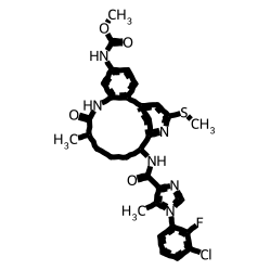 COC(=O)Nc1ccc2c(c1)NC(=O)C(C)CCCC(NC(=O)c1ncn(-c3cccc(Cl)c3F)c1C)c1cc-2cc(SC)n1